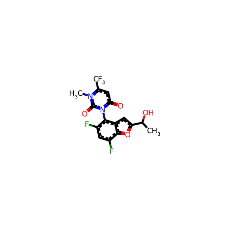 CC(O)c1cc2c(-n3c(=O)cc(C(F)(F)F)n(C)c3=O)c(F)cc(F)c2o1